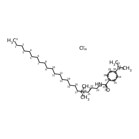 CCCCCCCCCCCCCCCCCC[N+](C)(C)CCCNC(=O)c1ccc(N(C)C)cc1.[Cl-]